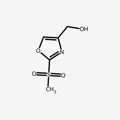 CS(=O)(=O)c1nc(CO)co1